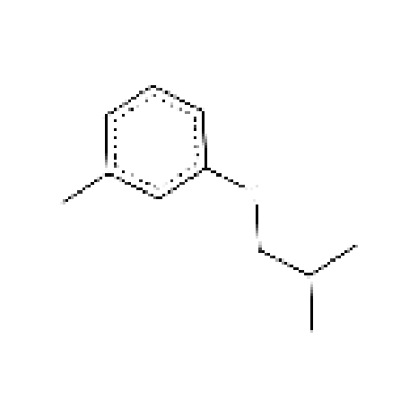 Cc1cccc(OCC(C)C)c1